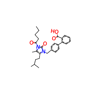 CCCCC(=O)n1c(C)c(CCC(C)C)n(Cc2ccc(-c3ccccc3C(=O)O)cc2)c1=O